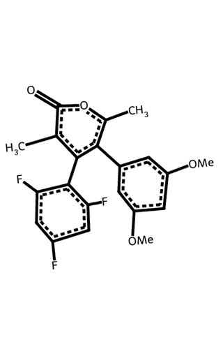 COc1cc(OC)cc(-c2c(C)oc(=O)c(C)c2-c2c(F)cc(F)cc2F)c1